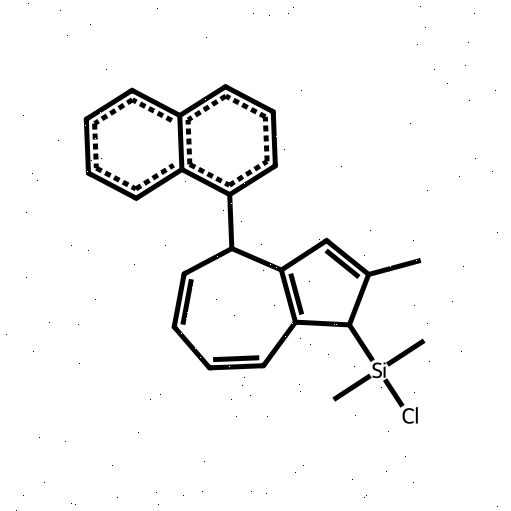 CC1=CC2=C(C=CC=CC2c2cccc3ccccc23)C1[Si](C)(C)Cl